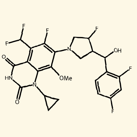 COc1c(N2CC(F)C(C(O)c3ccc(F)cc3F)C2)c(F)c(C(F)F)c2c(=O)[nH]c(=O)n(C3CC3)c12